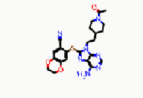 CC(=O)N1CCC(CCn2c(Sc3cc4c(cc3C#N)OCCO4)nc3c(N)ncnc32)CC1